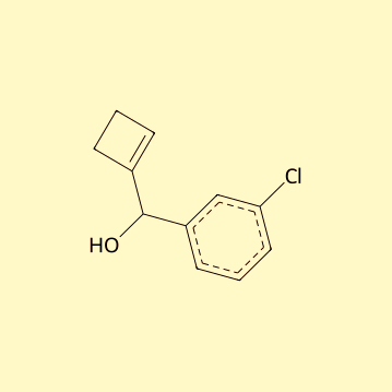 OC(C1=CCC1)c1cccc(Cl)c1